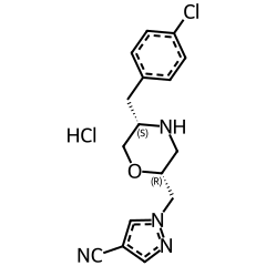 Cl.N#Cc1cnn(C[C@H]2CN[C@@H](Cc3ccc(Cl)cc3)CO2)c1